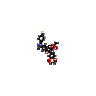 C[C@H](NS(=O)(=O)C1CC1)[C@@H](Oc1ccc2c(cnn2-c2ccc(F)cc2)c1)c1ccc2c(c1)OCCO2